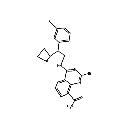 CCc1nc(NCC(c2cccc(F)c2)C2CCN2)c2cccc(C(N)=O)c2n1